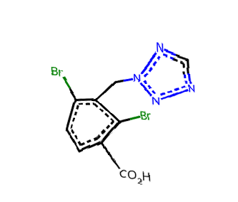 O=C(O)c1ccc(Br)c(Cn2ncnn2)c1Br